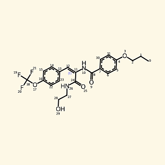 CCCOc1ccc(C(=O)N/C(=C/c2ccc(OC(F)(F)F)cc2)C(=O)NCCO)cc1